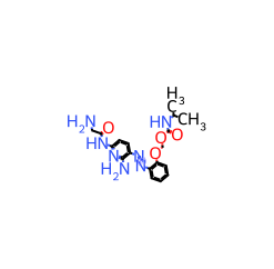 CC(C)NC(=O)OCOc1ccccc1/N=N/c1ccc(NC(=O)CN)nc1N